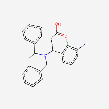 CC(c1ccccc1)N(Cc1ccccc1)C(CC(=O)O)c1cccc(I)c1F